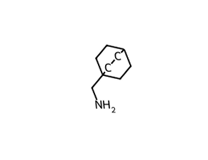 NCC12CCC(CC1)CC2